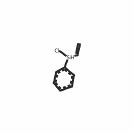 C=C[SiH](Cl)c1ccccc1